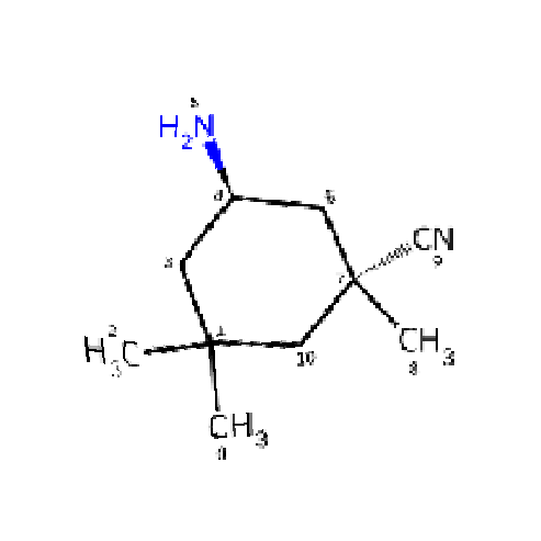 CC1(C)C[C@@H](N)C[C@](C)(C#N)C1